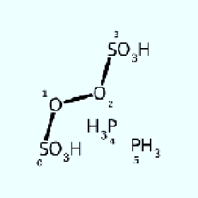 O=S(=O)(O)OOS(=O)(=O)O.P.P